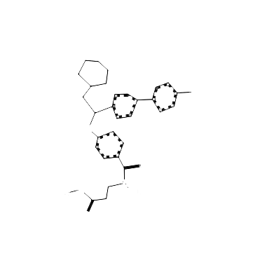 CN(CCC(=O)OC(C)(C)C)C(=O)c1ccc(OC(CC2CCCCC2)c2ccc(-c3ccc(C(F)(F)F)cc3)cc2)cc1